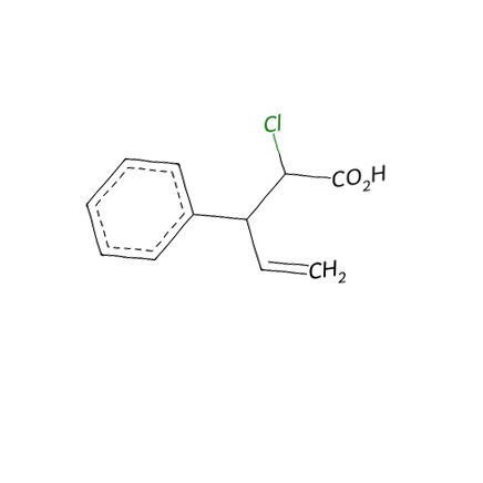 C=CC(c1ccccc1)C(Cl)C(=O)O